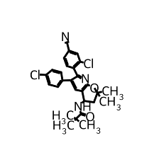 CC1(C)CC(NC(=O)C(C)(C)C)c2cc(-c3ccc(Cl)cc3)c(-c3ccc(C#N)cc3Cl)nc2O1